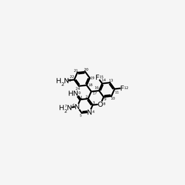 N=c1c2c(ncn1N)Oc1cc(F)cc(F)c1C2c1cccc(N)c1